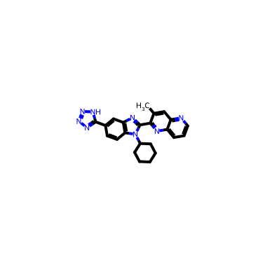 Cc1cc2ncccc2nc1-c1nc2cc(-c3nnn[nH]3)ccc2n1C1CCCCC1